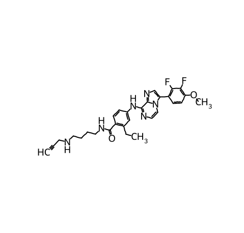 C#CCNCCCCNC(=O)c1ccc(Nc2nccn3c(-c4ccc(OC)c(F)c4F)cnc23)cc1CC